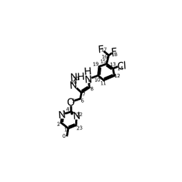 Cc1cnc(OC/C(=C/Nc2ccc(Cl)c(C(F)F)c2)N=N)nc1